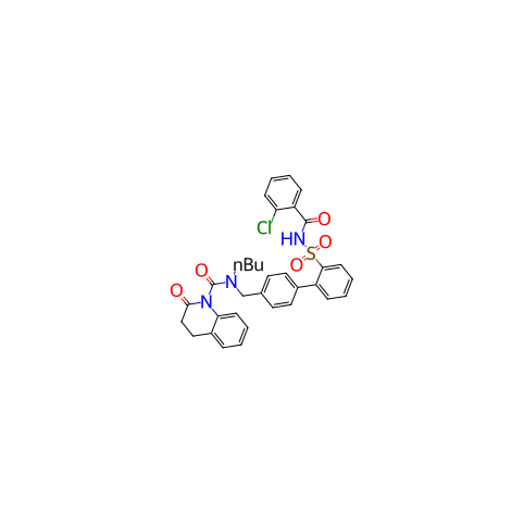 CCCCN(Cc1ccc(-c2ccccc2S(=O)(=O)NC(=O)c2ccccc2Cl)cc1)C(=O)N1C(=O)CCc2ccccc21